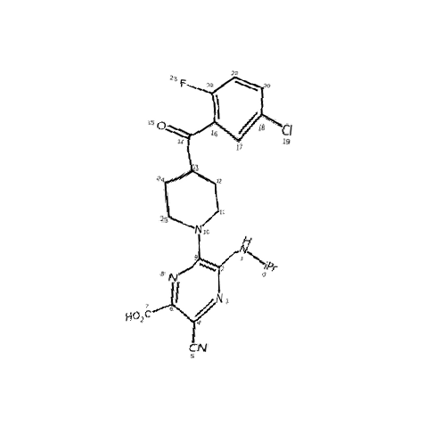 CC(C)Nc1nc(C#N)c(C(=O)O)nc1N1CCC(C(=O)c2cc(Cl)ccc2F)CC1